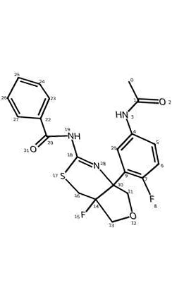 CC(=O)Nc1ccc(F)c(C23COCC2(F)CSC(NC(=O)c2ccccc2)=N3)c1